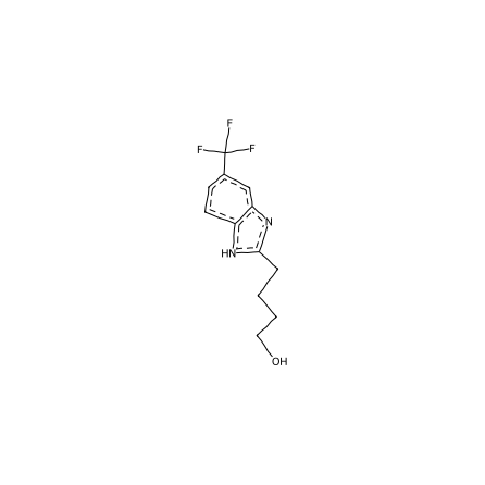 OCCCCc1nc2cc(C(F)(F)F)ccc2[nH]1